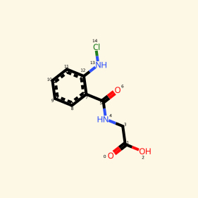 O=C(O)CNC(=O)c1ccccc1NCl